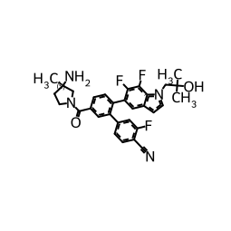 CC(C)(O)Cn1ccc2cc(-c3ccc(C(=O)N4CC[C@](C)(N)C4)cc3-c3ccc(C#N)c(F)c3)c(F)c(F)c21